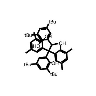 Cc1cc(C)c(O)c(C(c2cc(C)cc(C)c2O)(c2cc(C(C)(C)C)cc(C(C)(C)C)c2O)C(C)c2cc(C(C)(C)C)cc(C(C)(C)C)c2O)c1